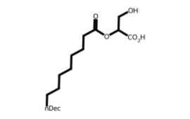 CCCCCCCCCCCCCCCCCC(=O)OC(CO)C(=O)O